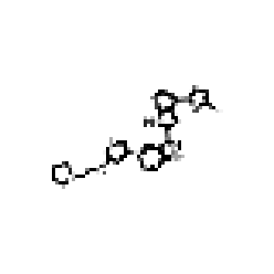 Fc1ccc(-c2ccnc3[nH]c(-c4n[nH]c5ccc(-c6cncc(OCCN7CCCC7)c6)cc45)cc23)s1